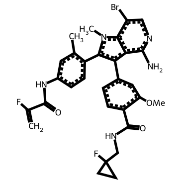 C=C(F)C(=O)Nc1ccc(-c2c(-c3ccc(C(=O)NCC4(F)CC4)c(OC)c3)c3c(N)ncc(Br)c3n2C)c(C)c1